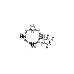 Fc1cc(F)c(F)c(-c2cc3cc4nc(cc5ccc(cc6nc(cc2[nH]3)C=C6)[nH]5)C=C4)c1F